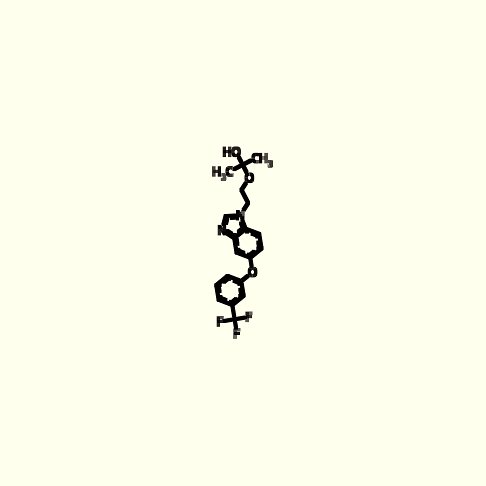 CC(C)(O)OCCn1cnc2cc(Oc3cccc(C(F)(F)F)c3)ccc21